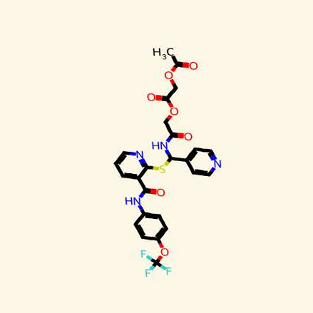 CC(=O)OCC(=O)OCC(=O)NC(Sc1ncccc1C(=O)Nc1ccc(OC(F)(F)F)cc1)c1ccncc1